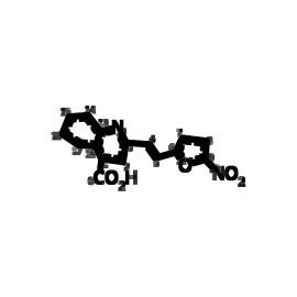 O=C(O)c1cc(C=Cc2ccc([N+](=O)[O-])o2)nc2ccccc12